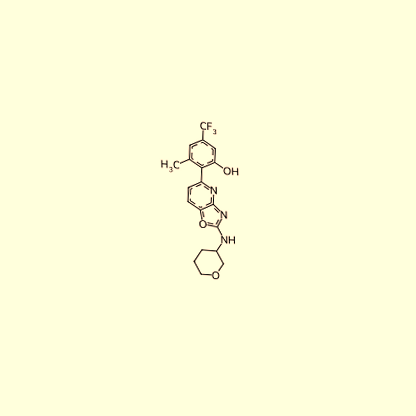 Cc1cc(C(F)(F)F)cc(O)c1-c1ccc2oc(NC3CCCOC3)nc2n1